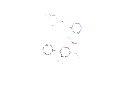 CCc1cc(C(F)(F)F)c(-c2c(F)cccc2F)nc1C(=O)Nc1cncnc1OCC(CN)CO